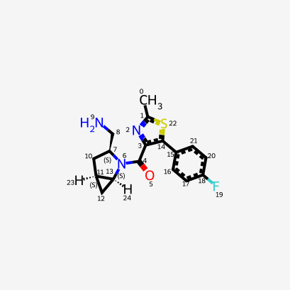 Cc1nc(C(=O)N2[C@H](CN)C[C@@H]3C[C@@H]32)c(-c2ccc(F)cc2)s1